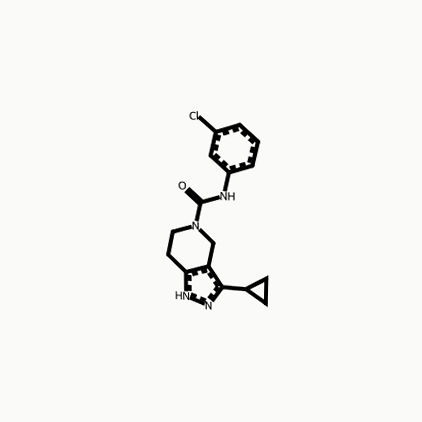 O=C(Nc1cccc(Cl)c1)N1CCc2[nH]nc(C3CC3)c2C1